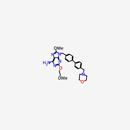 COCCOc1nc(N)c2nc(OC)n(Cc3ccc(-c4ccc(CN5CCOCC5)cc4)cc3)c2n1